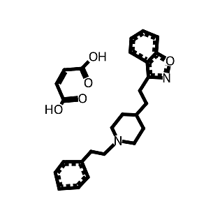 O=C(O)/C=C\C(=O)O.c1ccc(CCN2CCC(CCc3noc4ccccc34)CC2)cc1